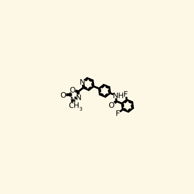 Cn1nc(-c2cc(-c3ccc(NC(=O)c4c(F)cccc4F)cc3)ccn2)oc1=O